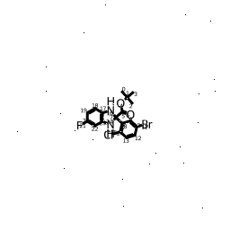 CC(C)(C)OC(=O)C1(c2cc(Br)ccc2Cl)Nc2ccc(F)cc2N1